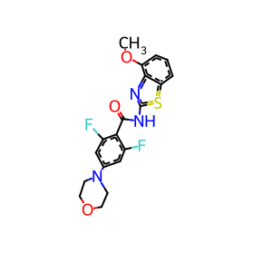 COc1cccc2sc(NC(=O)c3c(F)cc(N4CCOCC4)cc3F)nc12